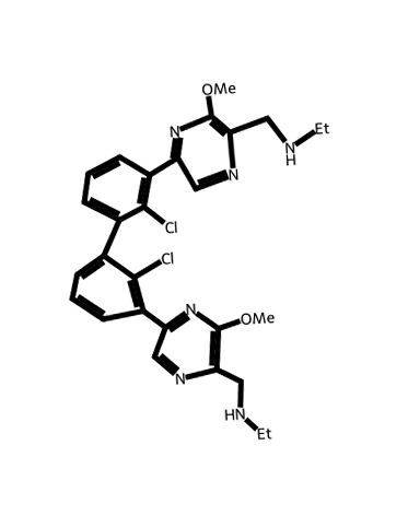 CCNCc1ncc(-c2cccc(-c3cccc(-c4cnc(CNCC)c(OC)n4)c3Cl)c2Cl)nc1OC